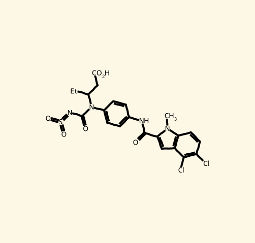 CCC(CC(=O)O)N(C(=O)N=S(=O)=O)c1ccc(NC(=O)c2cc3c(Cl)c(Cl)ccc3n2C)cc1